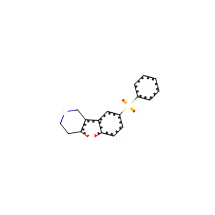 Cl.O=S(=O)(c1ccccc1)c1ccc2oc3c(c2c1)CNCC3